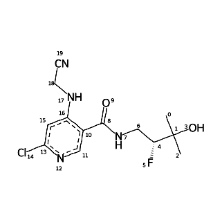 CC(C)(O)[C@H](F)CNC(=O)c1cnc(Cl)cc1NCC#N